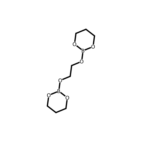 C1COB(OCCOB2OCCCO2)OC1